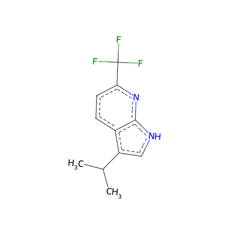 CC(C)c1c[nH]c2nc(C(F)(F)F)ccc12